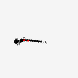 CCCCCCCCCCCCCCCCCCOC(=O)c1ccc(NC=C2C(=O)CCCC2=O)cc1